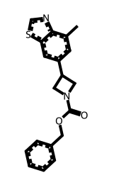 Cc1cc(C2CN(C(=O)OCc3ccccc3)C2)cc2scnc12